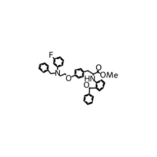 COC(=O)C(Cc1ccc(OCCN(Cc2ccccc2)c2cccc(F)c2)cc1)Nc1ccccc1C(=O)c1ccccc1